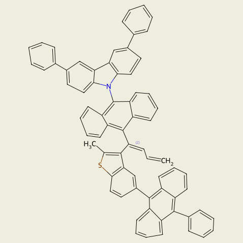 C=C/C=C(\c1c(C)sc2ccc(-c3c4ccccc4c(-c4ccccc4)c4ccccc34)cc12)c1c2ccccc2c(-n2c3ccc(-c4ccccc4)cc3c3cc(-c4ccccc4)ccc32)c2ccccc12